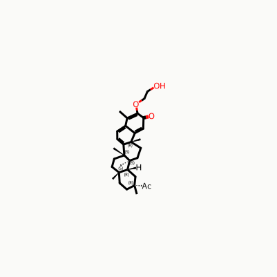 CC(=O)[C@]1(C)CC[C@]2(C)CC[C@]3(C)C4=CC=C5C(=CC(=O)C(OCCO)=C5C)[C@]4(C)CC[C@@]3(C)[C@@H]2C1